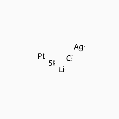 [Ag].[C].[Li].[Pt].[Si]